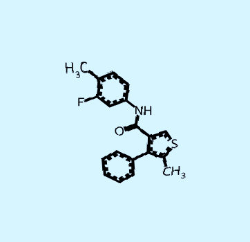 Cc1ccc(NC(=O)c2csc(C)c2-c2ccccc2)cc1F